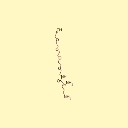 C#CCOCCOCCOCCOCCNC(=O)[C@H](N)CCCN